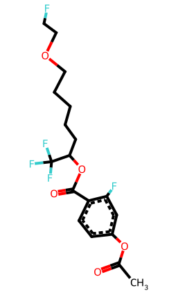 CC(=O)Oc1ccc(C(=O)OC(CCCCCOCCF)C(F)(F)F)c(F)c1